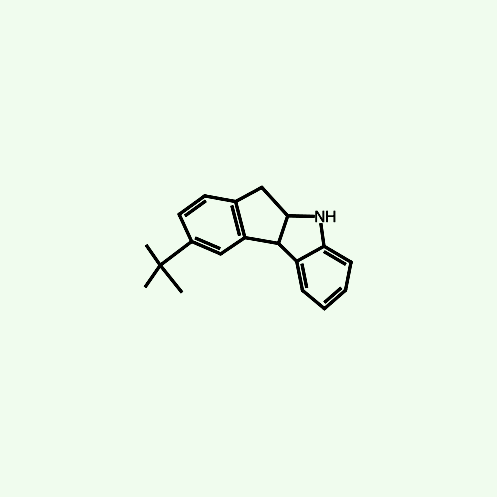 CC(C)(C)c1ccc2c(c1)C1c3ccccc3NC1C2